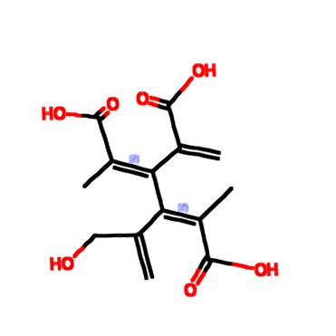 C=C(CO)C(=C(/C)C(=O)O)/C(C(=C)C(=O)O)=C(\C)C(=O)O